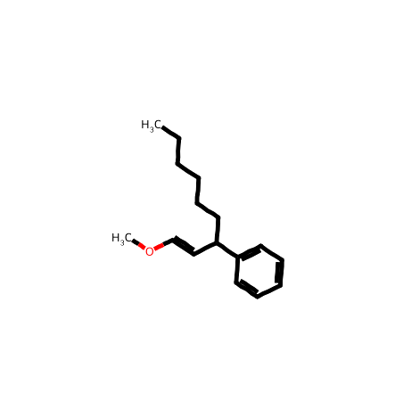 CCCCCCC(C=COC)c1ccccc1